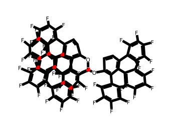 Fc1c(F)c(F)c(-c2ccc(OB(Oc3ccc(-c4c(F)c(F)c(F)c(F)c4F)c(-c4c(F)c(F)c(F)c(F)c4F)c3-c3c(F)c(F)c(F)c(F)c3F)Oc3ccc(-c4c(F)c(F)c(F)c(F)c4F)c(-c4c(F)c(F)c(F)c(F)c4F)c3-c3c(F)c(F)c(F)c(F)c3F)c(-c3c(F)c(F)c(F)c(F)c3F)c2-c2c(F)c(F)c(F)c(F)c2F)c(F)c1F